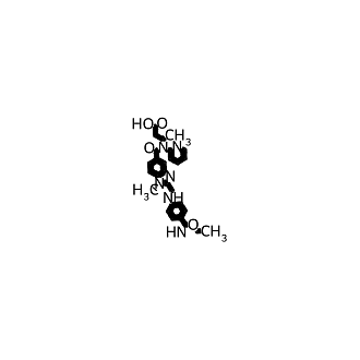 CCOC(=N)c1ccc(NCc2nc3cc(C(=O)N(c4ccccn4)C(C)CC(=O)O)ccc3n2C)cc1